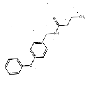 CCCC(=O)NCc1ccc(Oc2ccccc2)cc1